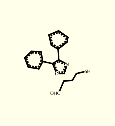 O=CCCCS.c1ccc(-c2ncoc2-c2ccccc2)cc1